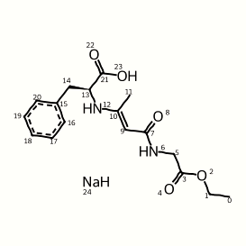 CCOC(=O)CNC(=O)/C=C(\C)N[C@@H](Cc1ccccc1)C(=O)O.[NaH]